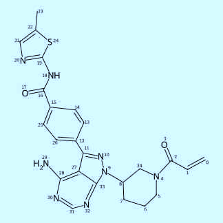 C=CC(=O)N1CCCC(n2nc(-c3ccc(C(=O)Nc4ncc(C)s4)cc3)c3c(N)ncnc32)C1